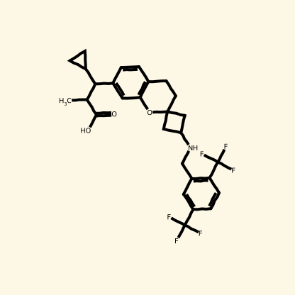 CC(C(=O)O)C(c1ccc2c(c1)OC1(CC2)CC(NCc2cc(C(F)(F)F)ccc2C(F)(F)F)C1)C1CC1